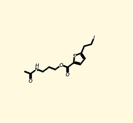 CC(=O)NCCCOC(=O)c1ccc(CCI)s1